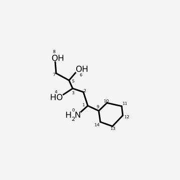 NC(CC(O)C(O)CO)C1CCCCC1